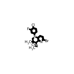 COC1c2nc(Br)ccc2N(c2ccc(Cl)c(F)c2)CC1(C)C